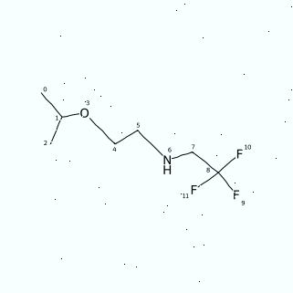 CC(C)OCCNCC(F)(F)F